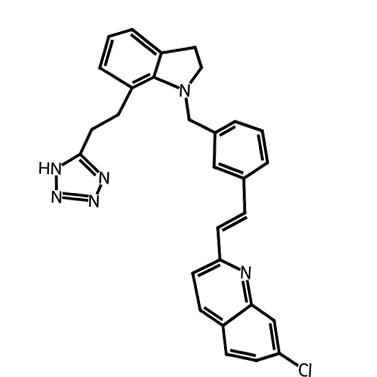 Clc1ccc2ccc(C=Cc3cccc(CN4CCc5cccc(CCc6nnn[nH]6)c54)c3)nc2c1